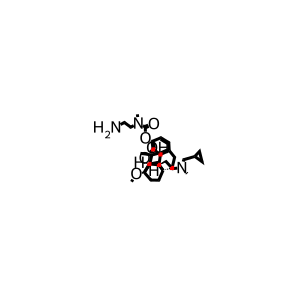 CO[C@@]12CC[C@]3(CCc4ccc(OC(=O)N(C)CCN)c5c4[C@@]3(CCN(C)CC3CC3)[C@H]1O5)C[C@@H]2C(C)(C)O